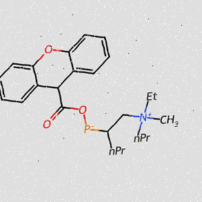 CCCC(C[N+](C)(CC)CCC)[P-]OC(=O)C1c2ccccc2Oc2ccccc21